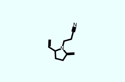 C=CC1CCC(=C)N1CCC#N